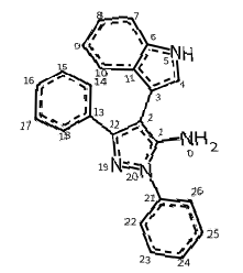 Nc1c(-c2c[nH]c3ccccc23)c(-c2ccccc2)nn1-c1ccccc1